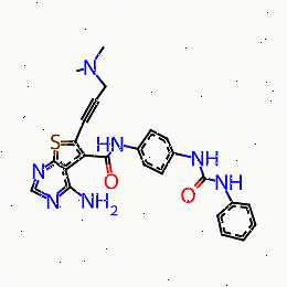 CN(C)CC#Cc1sc2ncnc(N)c2c1C(=O)Nc1ccc(NC(=O)Nc2ccccc2)cc1